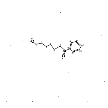 [O]CCCCCCC(=O)c1ccccc1